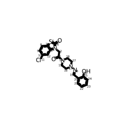 O=C(Cn1c(=O)sc2ccc(Cl)cc21)N1CCN(N=Cc2ccccc2O)CC1